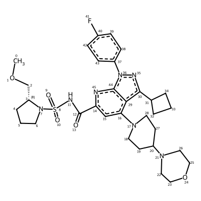 COC[C@H]1CCCN1S(=O)(=O)NC(=O)c1cc(N2CCC(N3CCOCC3)CC2)c2c(C3CCC3)nn(-c3ccc(F)cc3)c2n1